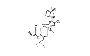 C=CC(=O)Nc1cc(Nc2ncc(Cl)c(Nc3ccccc3P(C)(C)=O)n2)c(OC)cc1CCN(CC)CC